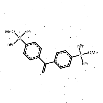 C=C(c1ccc([Si](CCC)(CCC)OC)cc1)c1ccc([Si](CCC)(CCC)OC)cc1